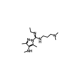 CC/N=C(/NCCCN(C)C)n1nc(C)c(NC)c1C